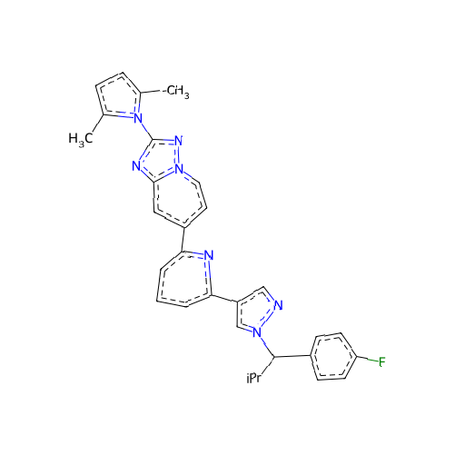 Cc1ccc(C)n1-c1nc2cc(-c3cccc(-c4cnn(C(c5ccc(F)cc5)C(C)C)c4)n3)ccn2n1